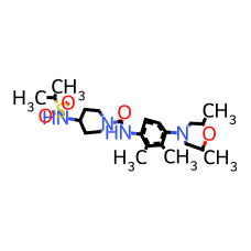 Cc1c(NC(=O)N2CCC(NS(=O)(=O)C(C)C)CC2)ccc(N2CC(C)OC(C)C2)c1C